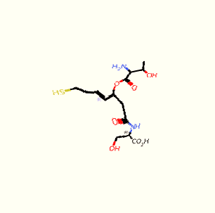 CC(O)C(N)C(=O)OC(/C=C/CCS)CC(=O)N[C@H](CO)C(=O)O